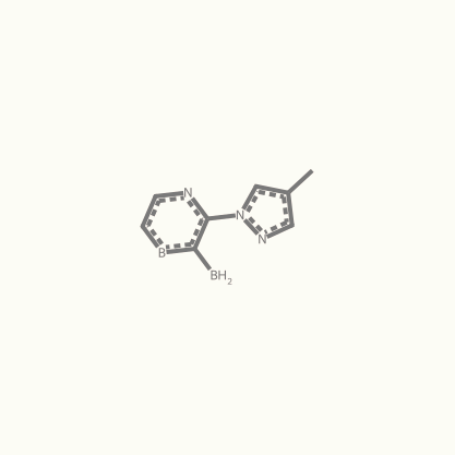 Bc1bccnc1-n1cc(C)cn1